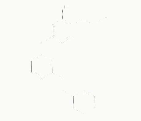 C/C=C\C(=C/CC)CCc1cccc(Sc2ccc(CCC(C)CC)c(O)c2)c1